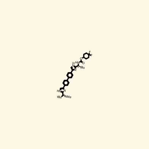 CN[C@H](c1nc(-c2ccc(-c3ccc(-c4c[nH]c([C@@H](NC(=O)OC5CCC(F)(F)CC5)C(C)(C)C)n4)cc3)cc2)c[nH]1)C(C)(C)C